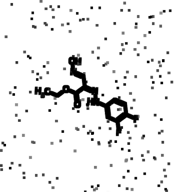 CCOC(=O)C(/C=N/O)=N\Nc1ccc(F)c(F)c1